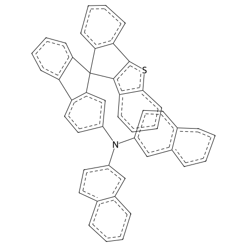 c1ccc2c(c1)-c1ccc(N(c3ccc4ccccc4c3)c3ccc4ccccc4c3)cc1C21c2ccccc2-c2sc3ccccc3c21